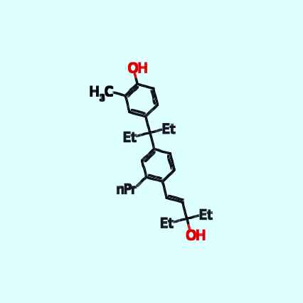 CCCc1cc(C(CC)(CC)c2ccc(O)c(C)c2)ccc1/C=C/C(O)(CC)CC